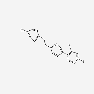 CCc1ccc(CCc2ccc(-c3ccc(F)cc3F)cc2)cc1